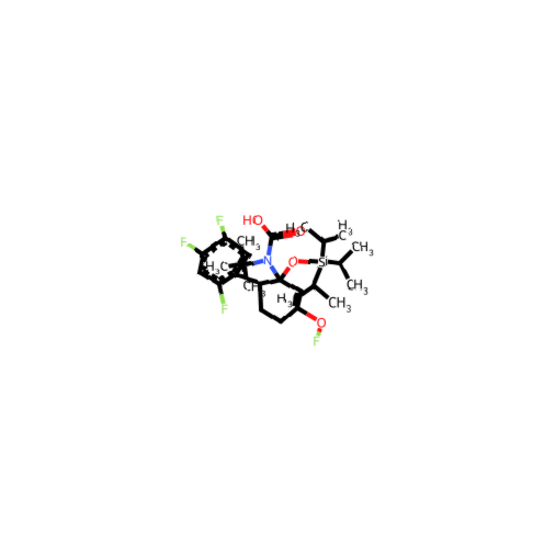 CC(C)[Si](OC1(N(C(=O)O)C(C)(C)C)C=C(OF)CCC1c1cc(F)c(F)cc1F)(C(C)C)C(C)C